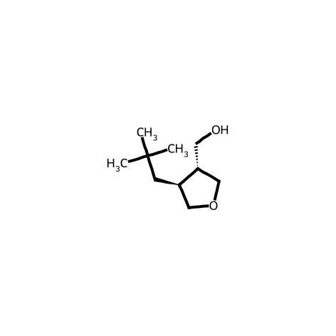 CC(C)(C)C[C@@H]1COC[C@H]1CO